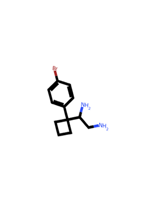 NCC(N)C1(c2ccc(Br)cc2)CCC1